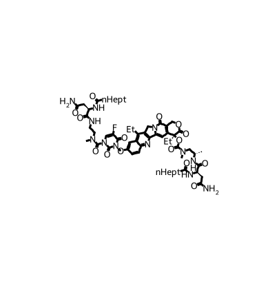 CCCCCCCC(=O)N[C@H](CC(N)=O)C(=O)NCCN(C)C(=O)n1cc(F)c(=O)n(Oc2ccc3nc4c(c(CC)c3c2)Cn2c-4cc3c(c2=O)COC(=O)[C@@]3(CC)OC(=O)N(C)C[C@H](C)NC(=O)[C@@H](CC(N)=O)NC(=O)CCCCCCC)c1=O